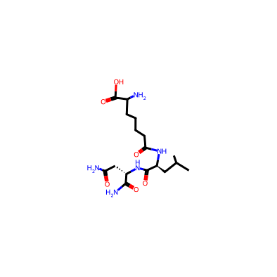 CC(C)C[C@H](NC(=O)CCCCC(N)C(=O)O)C(=O)N[C@@H](CC(N)=O)C(N)=O